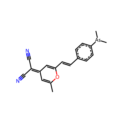 CC1=CC(=C(C#N)C#N)C=C(/C=C/c2ccc([As](C)C)cc2)O1